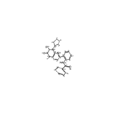 CC[C@@H]1C(=O)N(C)c2cnc(-c3ccncc3NC(=O)c3ccccc3)nc2N1C1CCCC1